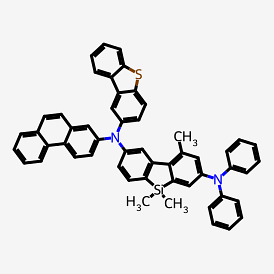 Cc1cc(N(c2ccccc2)c2ccccc2)cc2c1-c1cc(N(c3ccc4c(ccc5ccccc54)c3)c3ccc4sc5ccccc5c4c3)ccc1[Si]2(C)C